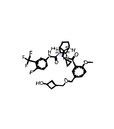 COc1ccc(COCC2CC(O)C2)cc1C(=O)N[C@H]1[C@@H](C(=O)Nc2ccc(F)c(C(F)(F)F)c2)[C@H]2CC[C@@H]1/C2=C\C1CC1